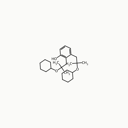 CC(C)(Cc1cccc(O)c1CC(C)(C)OC1CCCCC1)OC1CCCCC1